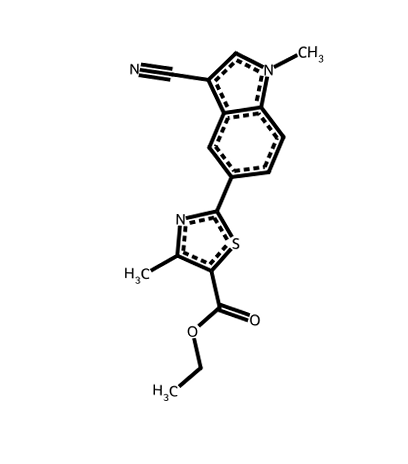 CCOC(=O)c1sc(-c2ccc3c(c2)c(C#N)cn3C)nc1C